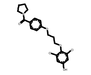 O=C(c1ccc(OCCCOc2c(Cl)cc(O)cc2Cl)cc1)N1CCCC1